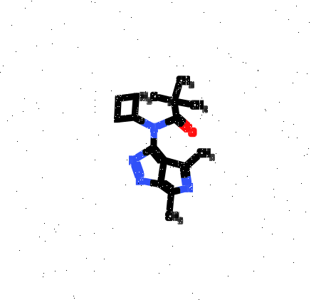 CC1=NC(C)=C2N=NC(N(C(=O)[Si](C)(C)C)C3CCC3)=C12